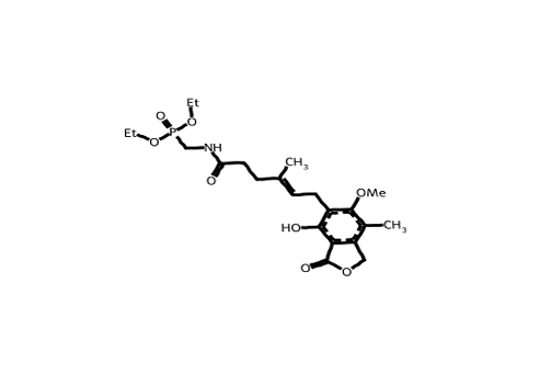 CCOP(=O)(CNC(=O)CC/C(C)=C/Cc1c(O)c2c(c(C)c1OC)COC2=O)OCC